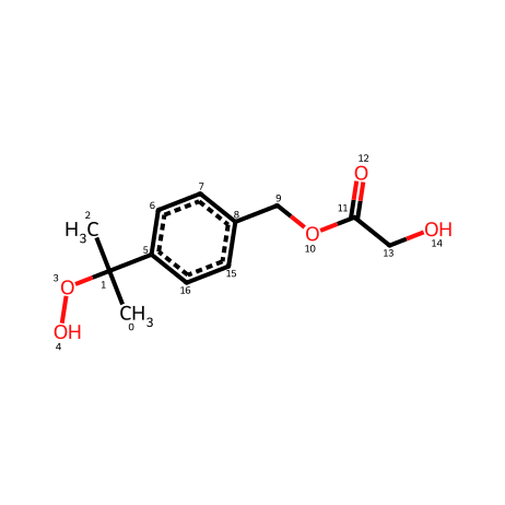 CC(C)(OO)c1ccc(COC(=O)CO)cc1